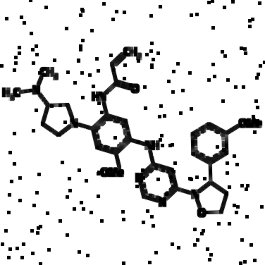 C=CC(=O)Nc1cc(Nc2cc(N3OCCC3c3cccc(OC)c3)ncn2)c(OC)cc1N1CCC(N(C)C)C1